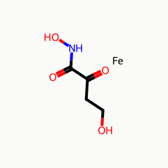 O=C(CCO)C(=O)NO.[Fe]